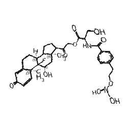 C[C@]12C[C@H](O)C3(F)[C@@H](CCC4=CC(=O)C=C[C@@]43C)C1CCC2C(=O)COC(=O)C(CO)NC(=O)c1ccc(CCON(O)O)cc1